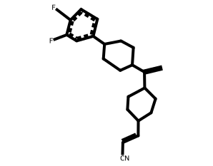 C=C(C1CCC(C=CC#N)CC1)C1CCC(c2ccc(F)c(F)c2)CC1